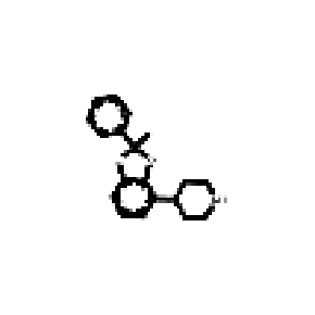 CC1(c2ccccc2)Oc2cccc(C3CCNCC3)c2O1